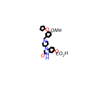 COc1ccc(CN2CCC(N3CC(=O)Nc4cc(OC(=O)O)ccc43)CC2)cc1OC1CCCC1